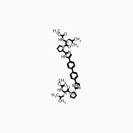 COC(=O)N[C@@H](CC(C)C)C(=O)N1CCCC1c1ncc(-c2ccc(-c3ccc(-c4cnc([C@@H]5CCCN5C(=O)[C@H](CC(C)C)NC(=O)OC)[nH]4)cc3)cc2)[nH]1